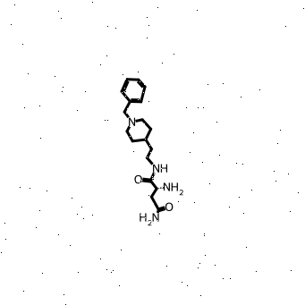 NC(=O)C[C@@H](N)C(=O)NCCC1CCN(Cc2ccccc2)CC1